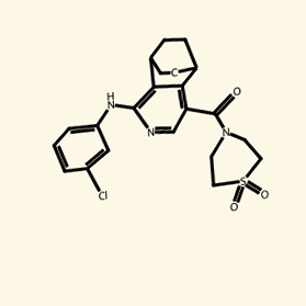 O=C(c1cnc(Nc2cccc(Cl)c2)c2c1C1CCC2CC1)N1CCS(=O)(=O)CC1